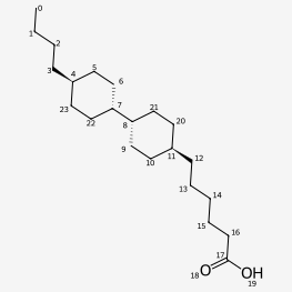 CCCC[C@H]1CC[C@H]([C@H]2CC[C@H](CCCCCC(=O)O)CC2)CC1